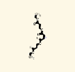 C=COC(=O)CCOC(=O)/C=C\C(=O)OCCC(=O)OC=C